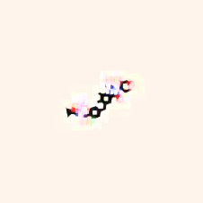 Cc1c(Cc2ccc(C(=O)NCC3(O)CC3)c(F)c2)cc2c(=O)n([C@H]3CCOC[C@@H]3O)cnc2c1C